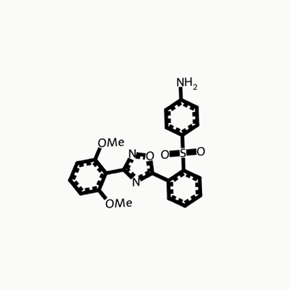 COc1cccc(OC)c1-c1noc(-c2ccccc2S(=O)(=O)c2ccc(N)cc2)n1